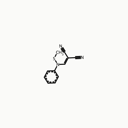 CSN(C=C(C#N)C#N)c1ccccc1